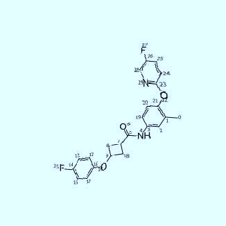 Cc1cc(NC(=O)C2CC(Oc3ccc(F)cc3)C2)ccc1Oc1ccc(F)cn1